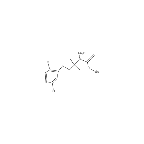 CC(C)(C)OC(=O)N(C(=O)O)C(C)(C)CCc1cc(Cl)ncc1Cl